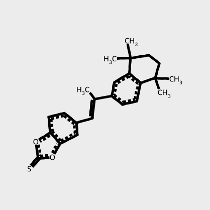 C/C(=C\c1ccc2oc(=S)oc2c1)c1ccc2c(c1)C(C)(C)CCC2(C)C